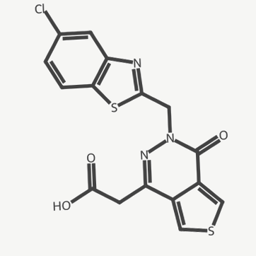 O=C(O)Cc1nn(Cc2nc3cc(Cl)ccc3s2)c(=O)c2cscc12